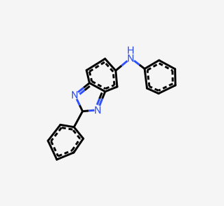 c1ccc(Nc2ccc3c(c2)=NC(c2ccccc2)N=3)cc1